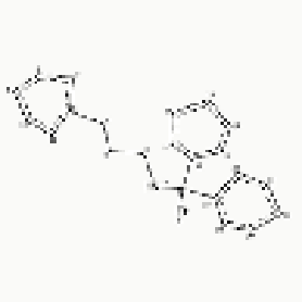 [CH2]CC(NCCCc1ccccc1)(c1ccccc1)c1ccccc1